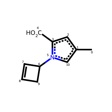 Cc1cc(C(=O)O)n(C2C=CC2)c1